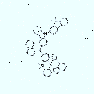 CC1(C)c2ccccc2-c2ccc(-n3c4ccccc4c4cc(N(c5ccc6c(c5)[Si](C)(C)c5ccccc5C65c6ccccc6-c6cccc7cccc5c67)c5cccc6ccccc56)ccc43)cc21